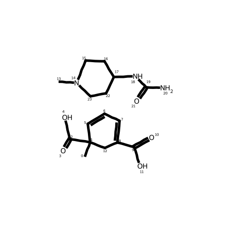 CC1(C(=O)O)C=CC=C(C(=O)O)C1.CN1CCC(NC(N)=O)CC1